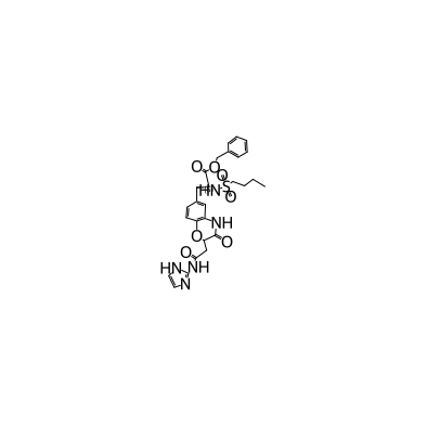 CCCCS(=O)(=O)N[C@@H](Cc1ccc2c(c1)NC(=O)C(CC(=O)Nc1ncc[nH]1)O2)C(=O)OCc1ccccc1